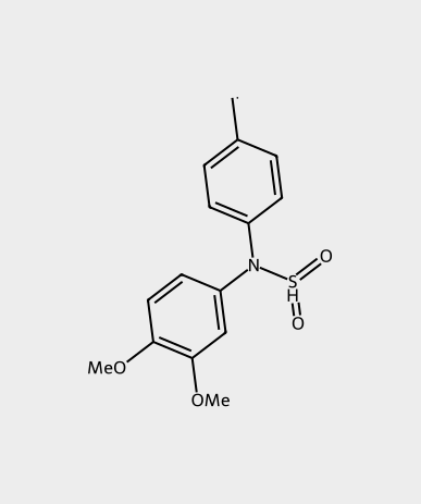 [CH2]c1ccc(N(c2ccc(OC)c(OC)c2)[SH](=O)=O)cc1